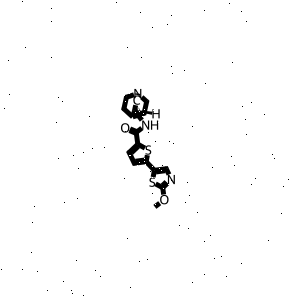 COc1ncc(-c2ccc(C(=O)N[C@H]3CN4CCC3CC4)s2)s1